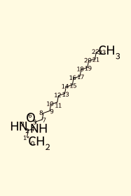 C=CC(=N)NC(=O)CCCCCCCCCCCCCCCCC